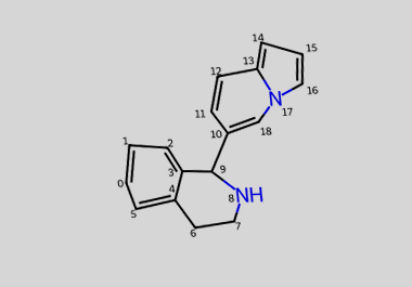 c1ccc2c(c1)CCNC2c1ccc2cccn2c1